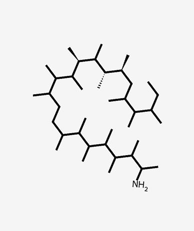 CCC(C)C(C)C(C)C[C@H](C)[C@H](C)C(C)[C@H](C)C(C)C(C)C(C)CCC(C)C(C)C(C)C(C)C(C)C(C)C(C)N